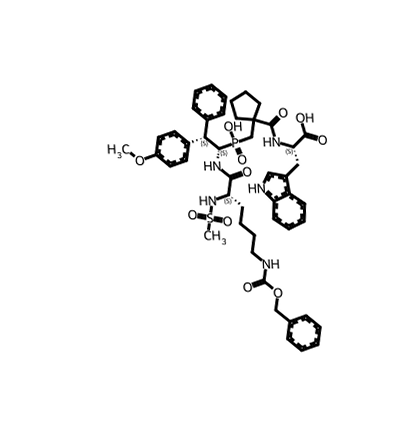 COc1ccc([C@H](c2ccccc2)[C@@H](NC(=O)[C@H](CCCCNC(=O)OCc2ccccc2)NS(C)(=O)=O)P(=O)(O)CC2(C(=O)N[C@@H](Cc3c[nH]c4ccccc34)C(=O)O)CCCC2)cc1